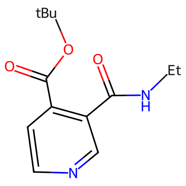 CCNC(=O)c1cnccc1C(=O)OC(C)(C)C